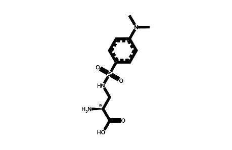 CN(C)c1ccc(S(=O)(=O)NC[C@H](N)C(=O)O)cc1